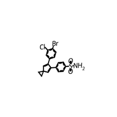 NS(=O)(=O)c1ccc(C2=CC3(C=C2c2ccc(Br)c(Cl)c2)CC3)cc1